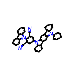 N#Cc1cc(-n2c3ccccc3c3cc4c(cc32)c2ccccc2n4-c2ccccc2)cc(C#N)c1-n1c2ccccc2c2ccccc21